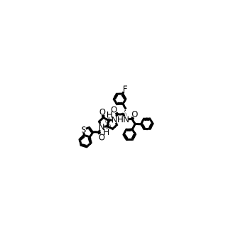 O=C(N[C@@H](Cc1cccc(F)c1)C(=O)N1CC[C@@H]2[C@H]1C(=O)CN2C(=O)c1csc2ccccc12)C(c1ccccc1)c1ccccc1